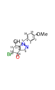 COc1ccc(Cn2ncc3c2C(C)CC(Br)C3=O)cc1